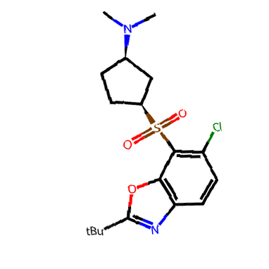 CN(C)[C@@H]1CC[C@H](S(=O)(=O)c2c(Cl)ccc3nc(C(C)(C)C)oc23)C1